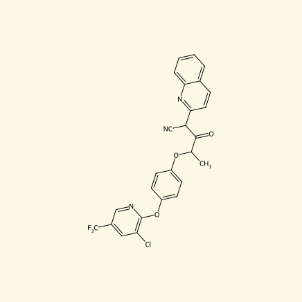 CC(Oc1ccc(Oc2ncc(C(F)(F)F)cc2Cl)cc1)C(=O)C(C#N)c1ccc2ccccc2n1